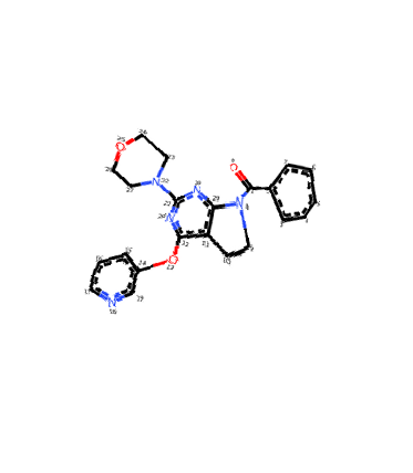 O=C(c1ccccc1)N1CCc2c(Oc3cccnc3)nc(N3CCOCC3)nc21